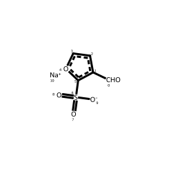 O=Cc1ccoc1S(=O)(=O)[O-].[Na+]